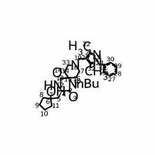 CCCCN1C(=O)[C@@H](CC2(O)CCCC2)NC(=O)C12CCN(Cc1c(C)nn(-c3ccccc3)c1C)CC2